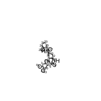 COc1ccc(Cn2c(=O)[nH]c3ccc(NC(=O)c4ccccc4OC)cc3c2=O)cc1OC